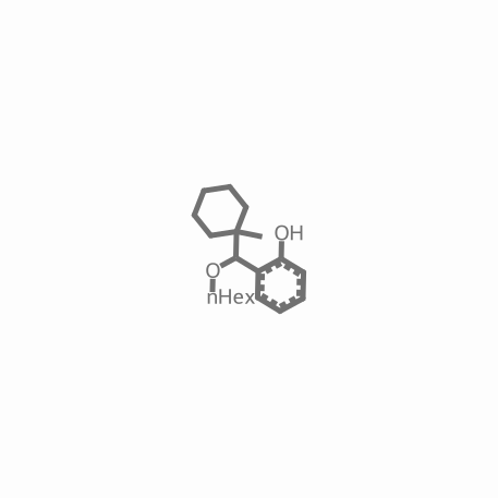 CCCCCCOC(c1ccccc1O)C1(C)CCCCC1